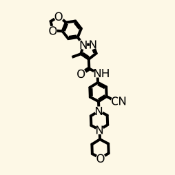 Cc1c(C(=O)Nc2ccc(N3CCN(C4CCOCC4)CC3)c(C#N)c2)cnn1-c1ccc2c(c1)OCO2